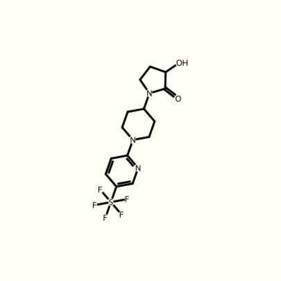 O=C1C(O)CCN1C1CCN(c2ccc(S(F)(F)(F)(F)F)cn2)CC1